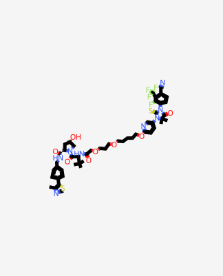 Cc1ncsc1-c1ccc(CNC(=O)[C@@H]2C[C@@H](O)CN2C(=O)[C@@H](NC(=O)COCCCOCCCCCOc2ccc(N3C(=S)N(c4ccc(C#N)c(C(F)(F)F)c4F)C(=O)C3(C)C)cn2)C(C)(C)C)cc1